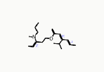 C=C(/C=C(/C=C/C)C(C)C)OCC/C(=C/C)N(C)CCC